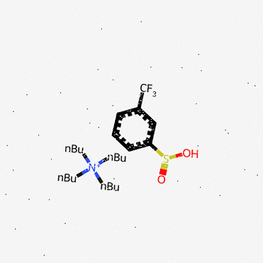 CCCC[N+](CCCC)(CCCC)CCCC.O=S(O)c1cccc(C(F)(F)F)c1